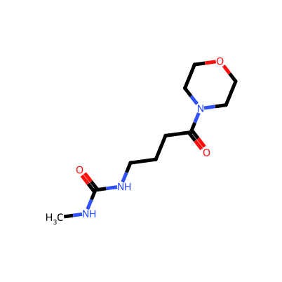 CNC(=O)NCCCC(=O)N1CCOCC1